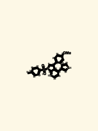 COc1ccc(-c2cn(S(=O)(=O)c3ccc(C)cc3)c3nccc(-c4ccsc4)c23)cc1